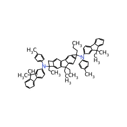 CCCC1(N(c2ccc(C)cc2)c2ccc3c(c2)C(C)(C)c2ccccc2-3)c2cc3c(cc21)C(CC)(CC)c1cc2c(cc1-3)CC2(CC)N(c1ccc(C)cc1)c1ccc2c(c1)C(C)(C)c1ccccc1-2